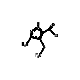 CCC(=O)c1[nH]nc(N)c1SC(F)(F)F